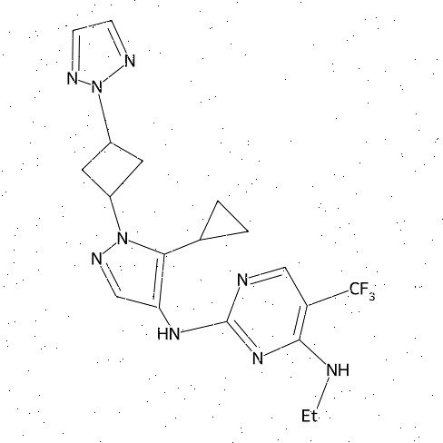 CCNc1nc(Nc2cnn(C3CC(n4nccn4)C3)c2C2CC2)ncc1C(F)(F)F